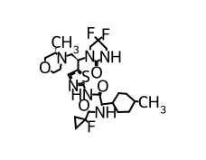 CC1CCC([C@H](NC(=O)C2(F)CC2)C(=O)Nc2ncc([C@@H](CN3CCOC[C@@H]3C)N3CC(F)(F)CNC3=O)s2)CC1